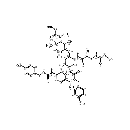 CN(C(=O)OC(C)(C)C)[C@@H]1[C@@H](O)[C@@H](O[C@@H]2[C@@H](O)[C@H](O[C@H]3OC(CN)=CC[C@H]3NC(=O)OCc3ccc([N+](=O)[O-])cc3)[C@@H](NC(=O)OCc3ccc([N+](=O)[O-])cc3)C[C@H]2NC(=O)[C@@H](O)CNC(=O)OC(C)(C)C)OC[C@]1(C)O